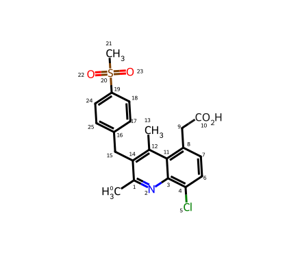 Cc1nc2c(Cl)ccc(CC(=O)O)c2c(C)c1Cc1ccc(S(C)(=O)=O)cc1